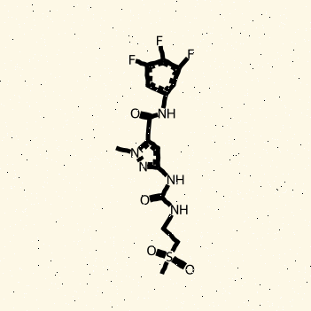 Cn1nc(NC(=O)NCCS(C)(=O)=O)cc1C(=O)Nc1cc(F)c(F)c(F)c1